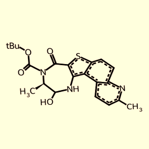 Cc1ccc2c(ccc3sc4c(c32)NC(O)[C@@H](C)N(C(=O)OC(C)(C)C)C4=O)n1